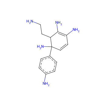 NCCC1C(N)=C(N)C=CC1(N)c1ccc(N)cc1